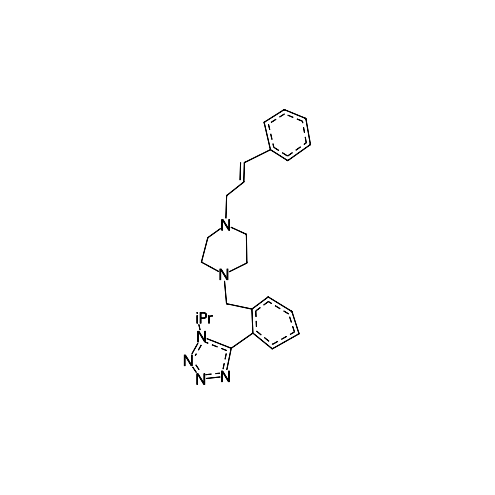 CC(C)n1nnnc1-c1ccccc1CN1CCN(CC=Cc2ccccc2)CC1